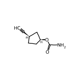 C#C[C@@H]1CC[C@H](OC(N)=O)C1